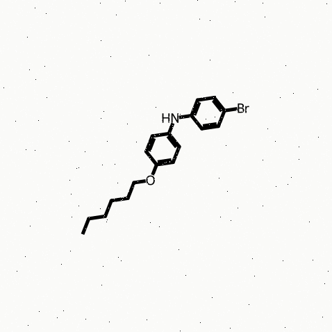 CCCCCCOc1ccc(Nc2ccc(Br)cc2)cc1